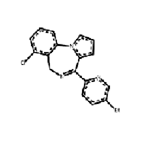 CCc1ccc(C2=NCc3c(Cl)cccc3-n3cccc32)nc1